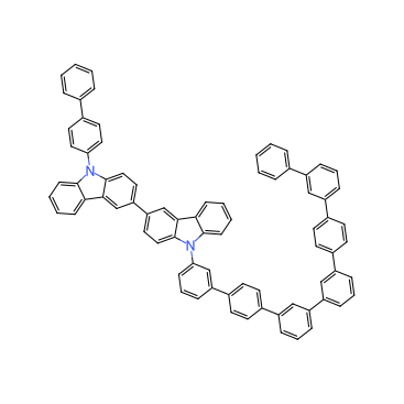 c1ccc(-c2ccc(-n3c4ccccc4c4cc(-c5ccc6c(c5)c5ccccc5n6-c5cccc(-c6ccc(-c7cccc(-c8cccc(-c9ccc(-c%10cccc(-c%11ccccc%11)c%10)cc9)c8)c7)cc6)c5)ccc43)cc2)cc1